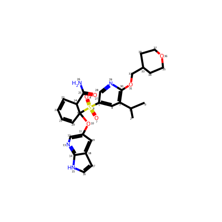 CC(C)c1cc(S(=O)(=O)C2(Oc3cnc4[nH]ccc4c3)C=CC=CC2C(N)=O)cnc1OCC1CCOCC1